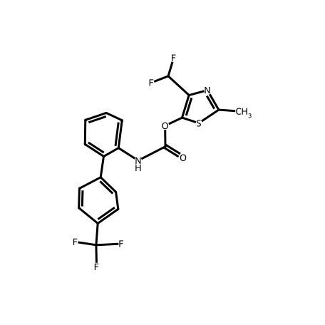 Cc1nc(C(F)F)c(OC(=O)Nc2ccccc2-c2ccc(C(F)(F)F)cc2)s1